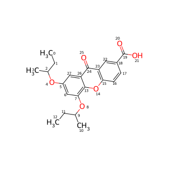 CCC(C)Oc1cc(OC(C)CC)c2oc3ccc(C(=O)O)cc3c(=O)c2c1